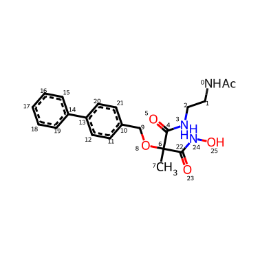 CC(=O)NCCNC(=O)C(C)(OCc1ccc(-c2ccccc2)cc1)C(=O)NO